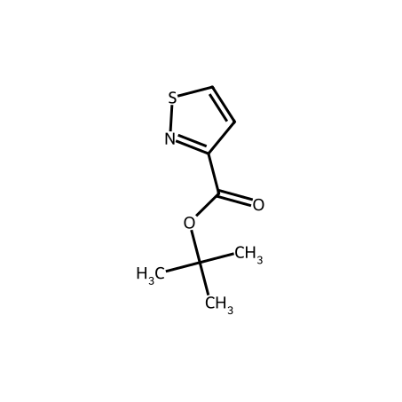 CC(C)(C)OC(=O)c1ccsn1